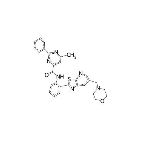 Cc1cc(C(=O)Nc2ccccc2-c2nc3cc(CN4CCOCC4)cnc3s2)nc(-c2ccccc2)n1